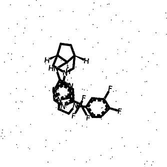 Fc1ccc(N2CCn3nc(N[C@@H]4[C@@H]5CC[C@H]4CN(c4ccnc(C(F)(F)F)c4)C5)nc32)cc1F